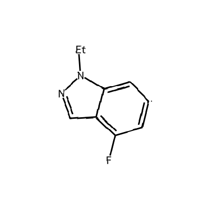 CCn1ncc2c(F)c[c]cc21